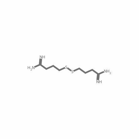 N=C(N)CCCSSCCCC(=N)N